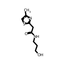 Cc1csc(CC(=O)NCCCO)n1